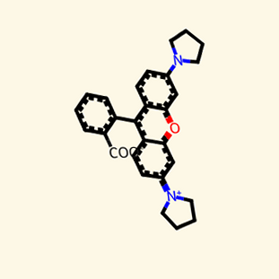 O=C([O-])c1ccccc1-c1c2ccc(=[N+]3CCCC3)cc-2oc2cc(N3CCCC3)ccc12